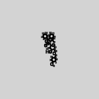 COc1ccc(COC[C@H](C)[C@H](O)[C@@H](C)C(=O)N2C(=O)OC(c3ccccc3)(c3ccccc3)[C@H]2C(C)C)cc1